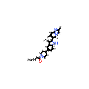 CNCC(=O)N1CCC(c2ccc3[nH]c(-c4cn5cc(C)nc5cc4C)c(C(C)C)c3c2)CC1